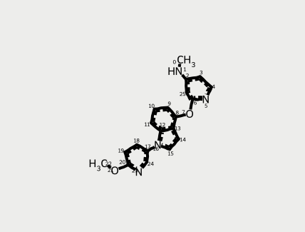 CNc1ccnc(Oc2cccc3c2ccn3-c2ccc(OC)nc2)c1